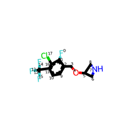 Fc1c(COC2CNC2)ccc(C(F)(F)F)c1Cl